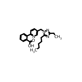 CCCCCc1nc(CC)nn1Cc1ccc(-c2ccccc2C(=O)O)nc1